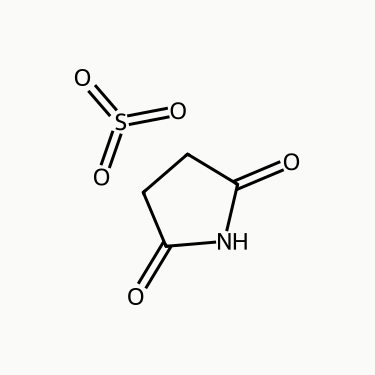 O=C1CCC(=O)N1.O=S(=O)=O